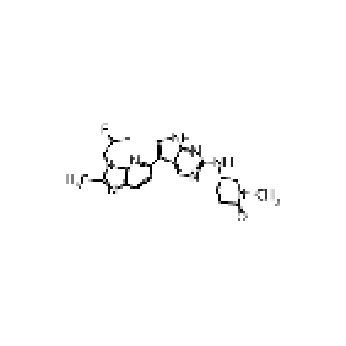 Cc1nc2ccc(-c3c[nH]c4nc(N[C@@H]5CCC(=O)N(C)C5)ncc34)nc2n1CC(F)F